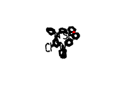 Clc1cc2cc(c1)N(C13CC4CC(C1)C(C4)C3)c1cccc(c1)[Si](c1ccccc1)(c1ccccc1)c1cccc(c1)N2C12CC3CC(C1)C(C3)C2